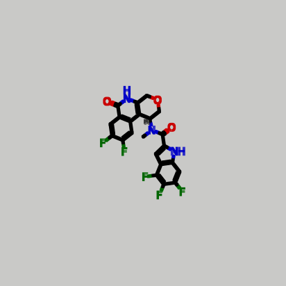 CN(C(=O)c1cc2c(F)c(F)c(F)cc2[nH]1)[C@@H]1COCc2[nH]c(=O)c3cc(F)c(F)cc3c21